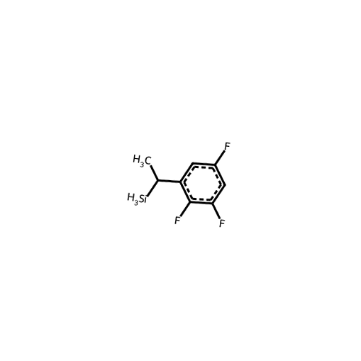 CC([SiH3])c1cc(F)cc(F)c1F